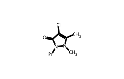 Cc1c(Cl)c(=O)n(C(C)C)n1C